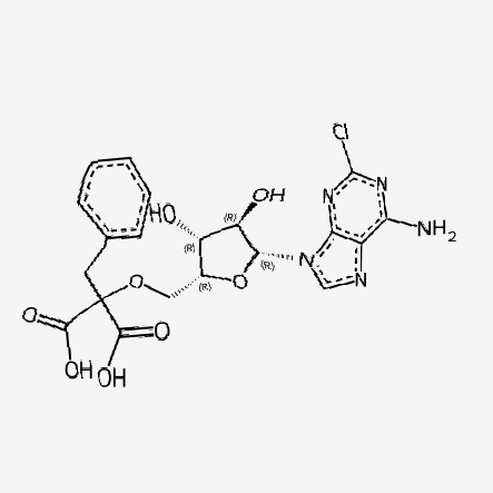 Nc1nc(Cl)nc2c1ncn2[C@@H]1O[C@H](COC(Cc2ccccc2)(C(=O)O)C(=O)O)[C@H](O)[C@H]1O